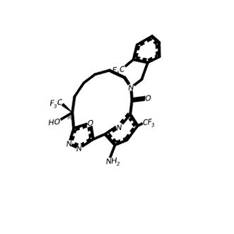 Nc1cc(C(F)(F)F)c2nc1-c1nnc(o1)[C@@](O)(C(F)(F)F)CCCCCN(Cc1ccccc1C(F)(F)F)C2=O